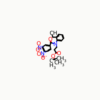 CCc1ccccc1N(CCC(=O)OC(C)(C)C)C(=O)c1ccc([N+](=O)[O-])c([N+](=O)[O-])c1